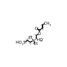 CC=CC(=O)OCC[N+](CC)(CC)CCS(=O)(=O)O.[OH-]